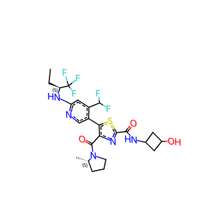 CC[C@H](Nc1cc(C(F)F)c(-c2sc(C(=O)NC3CC(O)C3)nc2C(=O)N2CCC[C@@H]2C)cn1)C(F)(F)F